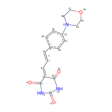 O=C1NC(=O)C(=C/C=C/c2ccc(N3CCOCC3)cc2)C(=O)N1